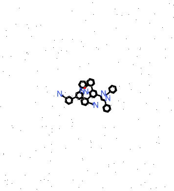 N#Cc1cccc(-c2ccc3c(c2)c2ccccc2n3-c2c(-c3ccccc3C#N)cc(-c3cc(-c4ccccc4)nc(-c4ccccc4)n3)cc2-c2ccccc2C#N)c1